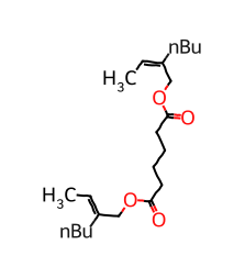 CC=C(CCCC)COC(=O)CCCCC(=O)OCC(=CC)CCCC